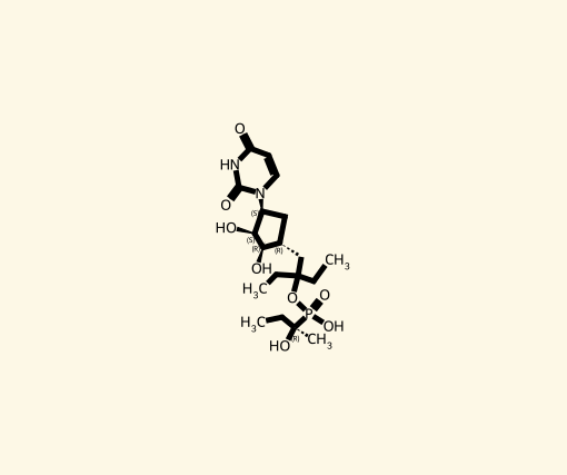 CCC(CC)(C[C@H]1C[C@H](n2ccc(=O)[nH]c2=O)[C@H](O)[C@@H]1O)OP(=O)(O)[C@@](C)(O)CC